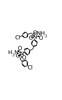 NC(=O)N(c1ccc(Cc2ccc(N(C(N)=O)S(=O)(=O)Cc3ccc(Cl)cc3)cc2)cc1)S(=O)(=O)Cc1ccc(Cl)cc1